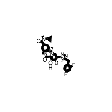 CN(C(=O)C1CCC2(CC1)N(C)C(=O)c1c(O)c(=O)c(-c3nnc(Cc4ccc(F)cc4F)s3)cn1N2C)C1CC1